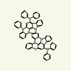 c1ccc(N2c3ccccc3B3c4cc5c(cc4-n4c6ccccc6c6c(N(c7ccccc7)c7ccccc7)cc2c3c64)-n2c3ccccc3c3c(N(c4ccccc4)c4ccccc4)cc4c(c32)B5c2ccccc2S4)cc1